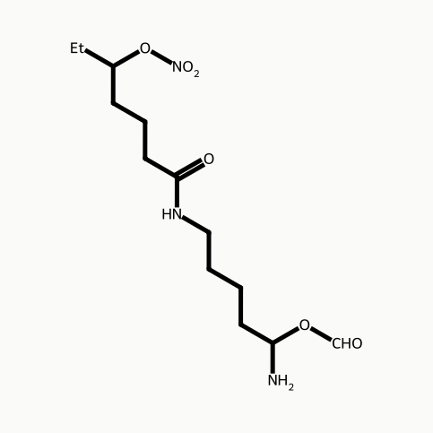 CCC(CCCC(=O)NCCCCC(N)OC=O)O[N+](=O)[O-]